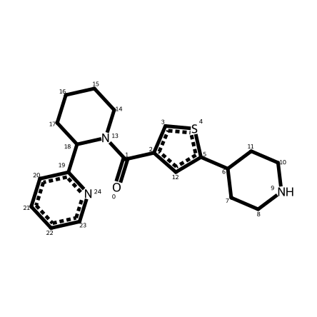 O=C(c1csc(C2CCNCC2)c1)N1CCCCC1c1ccccn1